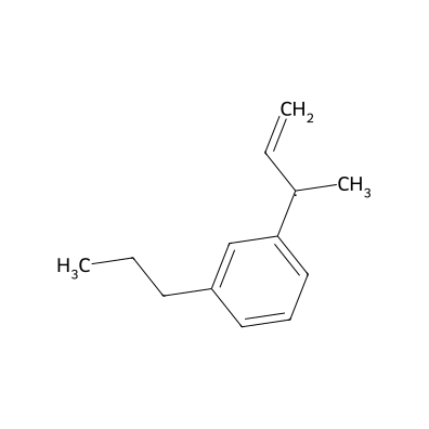 C=C[C](C)c1cccc(CCC)c1